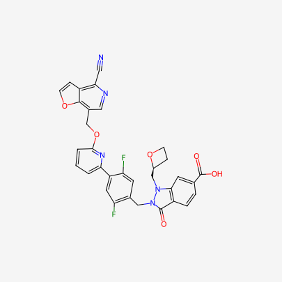 N#Cc1ncc(COc2cccc(-c3cc(F)c(Cn4c(=O)c5ccc(C(=O)O)cc5n4C[C@@H]4CCO4)cc3F)n2)c2occc12